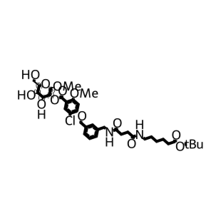 COc1cc(OCc2cccc(CNC(=O)CCC(=O)NCCCCCC(=O)OC(C)(C)C)c2)c(Cl)cc1C(=O)O[C@H]1[C@@H](OC)O[C@H](CO)[C@@H](O)[C@@H]1O